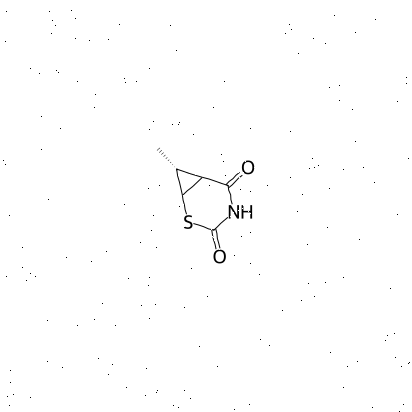 C[C@H]1C2SC(=O)NC(=O)C21